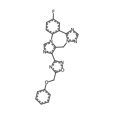 Fc1ccc2c(c1)-c1ncnn1Cc1c(-c3noc(COc4ccccc4)n3)ncn1-2